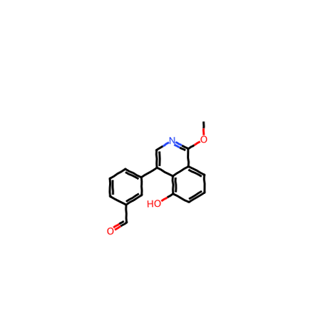 COc1ncc(-c2cccc(C=O)c2)c2c(O)cccc12